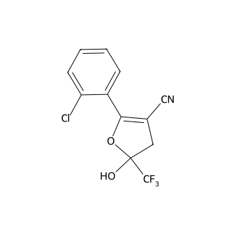 N#CC1=C(c2ccccc2Cl)OC(O)(C(F)(F)F)C1